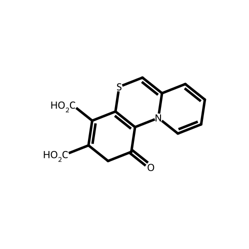 O=C(O)C1=C(C(=O)O)C2=C(C(=O)C1)N1C=CC=CC1=CS2